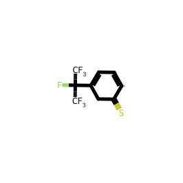 FC(F)(F)C(F)(C1=CC=[C]C(=S)C1)C(F)(F)F